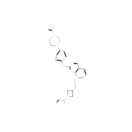 C=CC(O)N1CC(CCN2CC=Cc3cnc(Nc4ccc(N5CCN(C(C)=O)CC5)cc4)nc32)C1